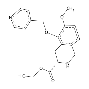 CCOC(=O)[C@@H]1Cc2c(ccc(OC)c2OCc2ccncc2)CN1